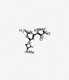 CNC1CN(c2cc(-c3[nH]nc(Cl)c3Cl)nc(N)n2)C1